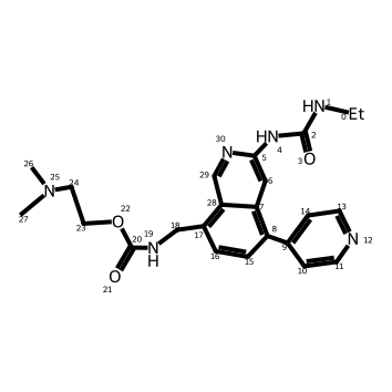 CCNC(=O)Nc1cc2c(-c3ccncc3)ccc(CNC(=O)OCCN(C)C)c2cn1